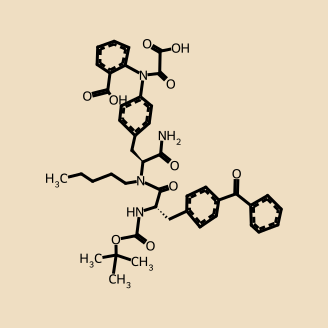 CCCCCN(C(=O)[C@H](Cc1ccc(C(=O)c2ccccc2)cc1)NC(=O)OC(C)(C)C)[C@@H](Cc1ccc(N(C(=O)C(=O)O)c2ccccc2C(=O)O)cc1)C(N)=O